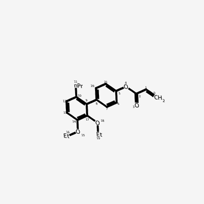 C=CC(=O)Oc1ccc(-c2c(CCC)ccc(OCC)c2OCC)cc1